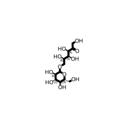 O=C(CO)[C@H](O)[C@@H](O)[C@H](O)COC1O[C@H](CO)[C@@H](O)[C@H](O)[C@H]1O